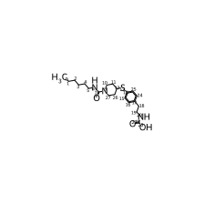 CCCCCCNC(=O)N1CCC(Sc2ccc(CCNC(=O)O)cc2)CC1